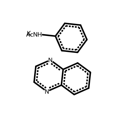 CC(=O)Nc1ccccc1.[K].c1ccc2nccnc2c1